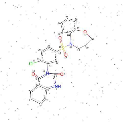 O=c1[nH]c2ccccc2c(=O)n1-c1cc(S(=O)(=O)N2CCCOc3ccccc32)ccc1Cl